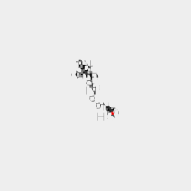 CCc1nc2c(cnn2CC)c(NC2CCOCC2)c1CNC(=O)c1cccc(C(=O)NCc2cccc(-c3cccc(CN4CCN(C(=O)O)[C@@](C)(C(C)(C)C)C4)c3)c2)c1